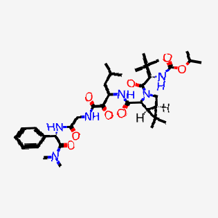 CC(C)CC(NC(=O)C1[C@H]2[C@@H](CN1C(=O)[C@@H](NC(=O)OC(C)C)C(C)(C)C)C2(C)C)C(=O)C(=O)NCC(=O)N[C@H](C(=O)N(C)C)c1ccccc1